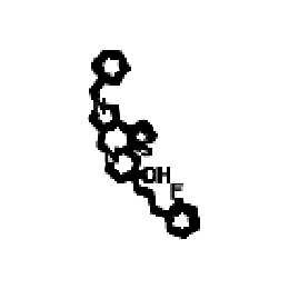 OC1(CCCc2ccccc2F)CCN(CC2CN(Cc3ccccc3)CC2c2ccsc2)CC1